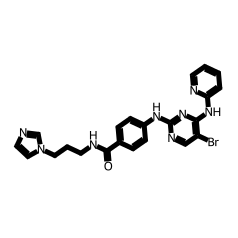 O=C(NCCCn1ccnc1)c1ccc(Nc2ncc(Br)c(Nc3ccccn3)n2)cc1